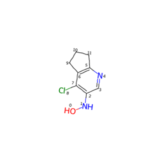 ONc1cnc2c(c1Cl)CCC2